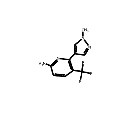 Cn1cc(-c2nc(N)ccc2C(F)(F)F)cn1